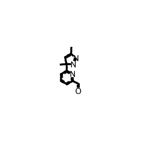 CC1=CC(C)(c2cccc(C=O)n2)N=N1